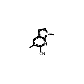 Cc1cc2ccn(C)c2nc1C#N